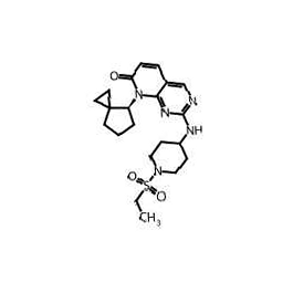 CCS(=O)(=O)N1CCC(Nc2ncc3ccc(=O)n([C@H]4CCCC45CC5)c3n2)CC1